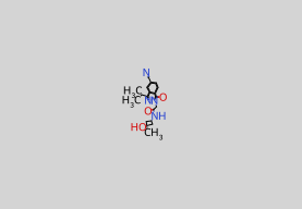 CC(C)c1nn(CC(=O)N[C@H]2C[C@@](C)(O)C2)c(=O)c2ccc(C#N)cc12